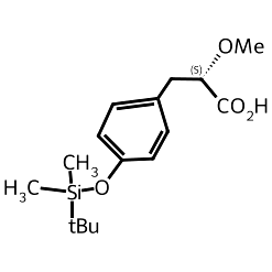 CO[C@@H](Cc1ccc(O[Si](C)(C)C(C)(C)C)cc1)C(=O)O